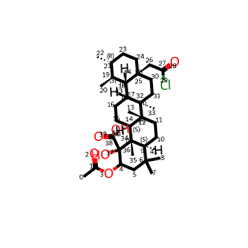 CC(=O)OC1CC(C)(C)[C@@H]2CC[C@]3(C)[C@H](CC[C@@H]4[C@@H]5[C@@H](C)[C@H](C)CC[C@]5(CC(=O)Cl)CC[C@]43C)[C@@]2(C)C1(O)C(=O)O